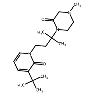 CN1CCN(C(C)(C)CCn2cccc(C(C)(C)C)c2=O)C(=O)C1